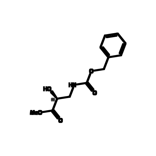 COC(=O)[C@@H](O)CNC(=O)OCc1ccccc1